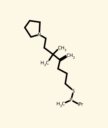 C=C(CCCSP(C)C(C)C)C(C)(C)CCN1CCCC1